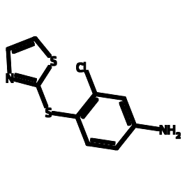 Nc1ccc(Sc2nccs2)c(Cl)c1